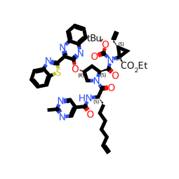 C=CCCCCC[C@H](NC(=O)c1cnc(C)nc1)C(=O)N1C[C@H](Oc2nc3ccccc3nc2-c2nc3ccccc3s2)C[C@H]1C(=O)N(C(=O)OC(C)(C)C)[C@]1(C(=O)OCC)C[C@H]1C=C